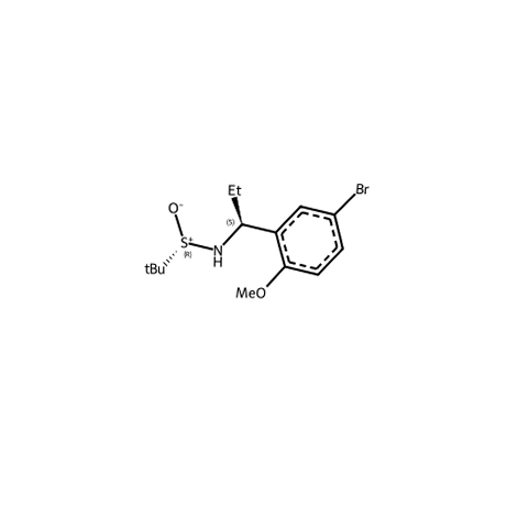 CC[C@H](N[S@@+]([O-])C(C)(C)C)c1cc(Br)ccc1OC